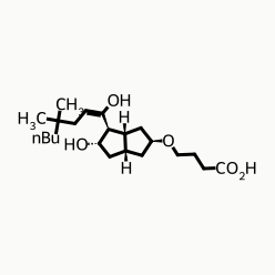 CCCCC(C)(C)C/C=C(/O)[C@H]1[C@@H]2C[C@@H](OCCCC(=O)O)C[C@@H]2C[C@@H]1O